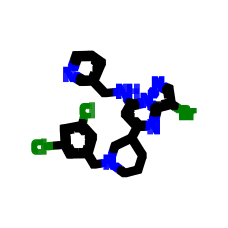 Clc1cc(Cl)cc(CN2CCCC(c3cc(NCc4cccnc4)n4ncc(Br)c4n3)C2)c1